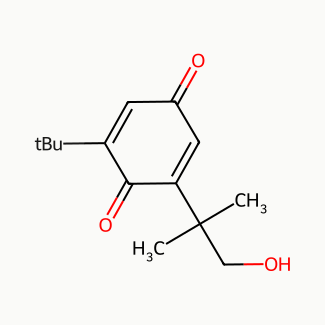 CC(C)(C)C1=CC(=O)C=C(C(C)(C)CO)C1=O